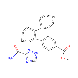 COC(=O)c1ccc(-c2c(-c3ccccc3)cccc2-n2ncnc2C(N)=O)cc1